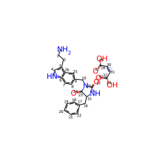 NCCc1c[nH]c2ccc(CN3C(=O)NC(Cc4ccccc4)C3=O)cc12.O=C(O)/C=C\C(=O)O